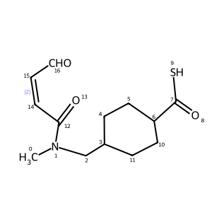 CN(CC1CCC(C(=O)S)CC1)C(=O)/C=C\C=O